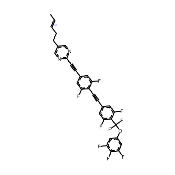 C/C=C/CCc1cnc(C#Cc2cc(F)c(C#Cc3cc(F)c(C(F)(F)Oc4cc(F)c(F)c(F)c4)c(F)c3)c(F)c2)nc1